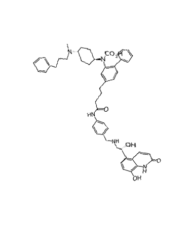 CN(CCCc1ccccc1)[C@H]1CC[C@H](N(C(=O)O)c2cc(CCCC(=O)Nc3ccc(CNC[C@H](O)c4ccc(O)c5[nH]c(=O)ccc45)cc3)ccc2-c2ccccc2)CC1